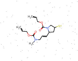 C=CCOC(=O)N(C)C/C=C/C1CC(S)CN1C(=O)OCC=C